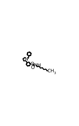 CCCCCCCCNC(=O)Oc1cccc(C2CCCN2Cc2ccccc2)c1